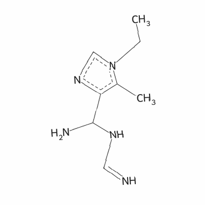 CCn1cnc(C(N)NC=N)c1C